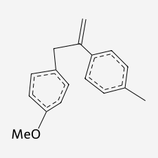 C=C(Cc1ccc(OC)cc1)c1ccc(C)cc1